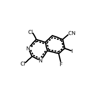 N#Cc1cc2c(Cl)nc(Cl)nc2c(F)c1I